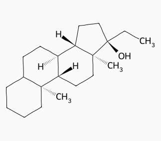 CC[C@@]1(O)CC[C@H]2[C@@H]3CCC4CCCC[C@]4(C)[C@H]3CC[C@@]21C